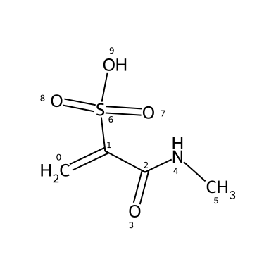 C=C(C(=O)NC)S(=O)(=O)O